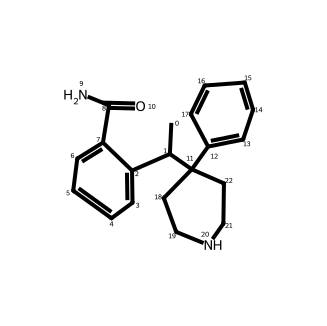 CC(c1ccccc1C(N)=O)C1(c2ccccc2)CCNCC1